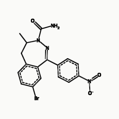 CC1Cc2ccc(Br)cc2C(c2ccc([N+](=O)[O-])cc2)=NN1C(N)=O